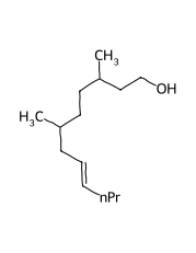 CCC/C=C/CC(C)CCC(C)CCO